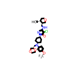 C#C[C@@H]1CCOC[C@H]1CNc1cnn([C@H]2CC[C@H](N(C[C@H]3COCCO3)c3ccc(OC(F)(F)F)cc3)CC2)c(=O)c1Cl